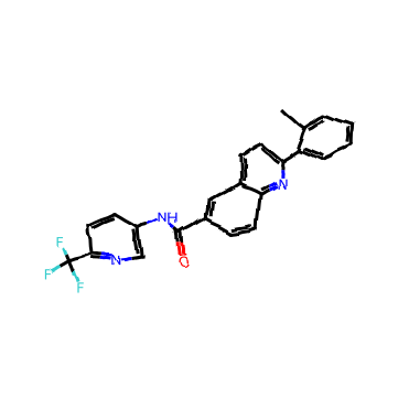 Cc1ccccc1-c1ccc2cc(C(=O)Nc3ccc(C(F)(F)F)nc3)ccc2n1